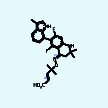 Cc1c[nH]c2c(-c3c(F)cc4c(c3F)/C(=N/OC(C)(C)/C=C/C(=O)O)CC(C)(C)N4)cccc12